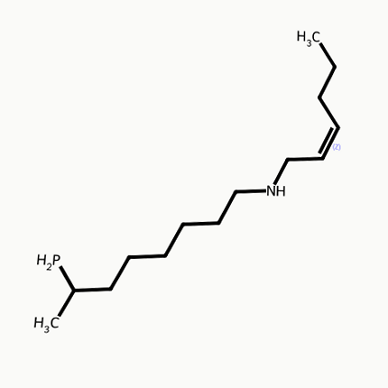 CCC/C=C\CNCCCCCCC(C)P